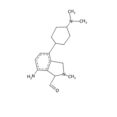 CN(C)C1CCC(c2ccc(N)c3c2CN(C)C3C=O)CC1